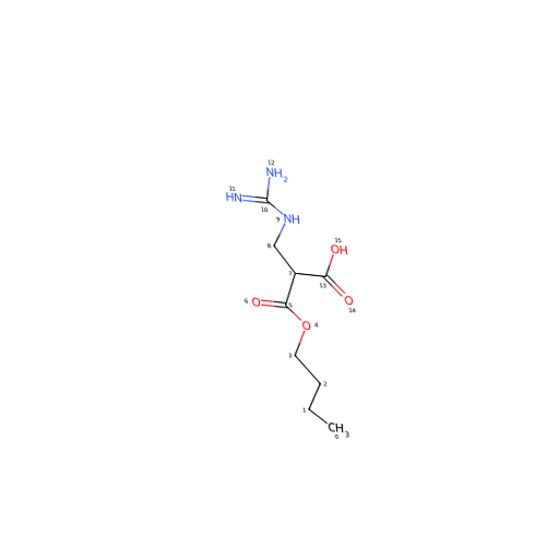 CCCCOC(=O)C(CNC(=N)N)C(=O)O